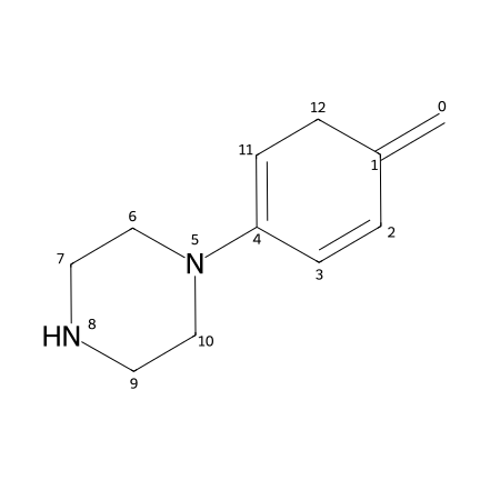 C=C1C=CC(N2CCNCC2)=CC1